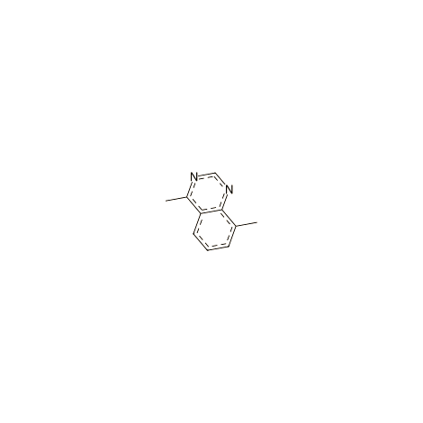 Cc1ncnc2c(C)cccc12